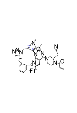 C=CC(=O)N1CCN(c2nc(=O)n3c4nc(c(F)cc24)-c2c(F)cccc2Cc2cnnn2CC(=C/C)/C3=C(\N=C)C(C)C)CC1CC#N